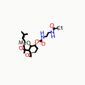 CCC(=O)NCCNC(=O)OC1CC[C@]2(CO2)C(C2(C)O[C@@H]2CC=C(C)C)C1OC